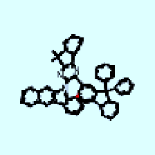 CC1(C)c2ccccc2-c2nc(-c3ccc4c(c3)C(c3ccccc3)(c3ccccc3)c3ccccc3-4)c(-n3c4ccccc4c4cc5ccccc5cc43)nc21